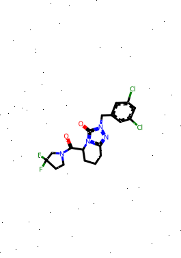 O=C(C1CCCc2nn(Cc3cc(Cl)cc(Cl)c3)c(=O)n21)N1CCC(F)(F)C1